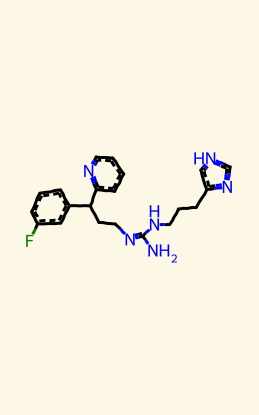 NC(=NCCC(c1cccc(F)c1)c1ccccn1)NCCCc1c[nH]cn1